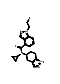 O=C(c1cccc2c1cnn2CCF)N(C1CC1)C1CCc2[nH]ncc2C1